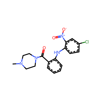 CN1CCN(C(=O)c2ccccc2Nc2ccc(Cl)cc2[N+](=O)[O-])CC1